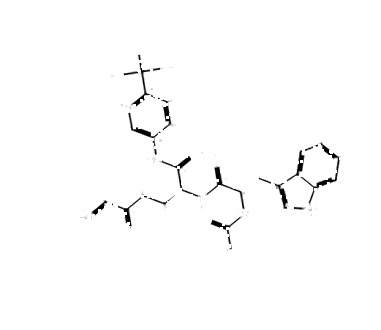 CC(=O)N[C@@H](Cc1c[nH]c2ccccc12)C(=O)N[C@@H](CCC(=O)C=N)C(=O)Nc1ccc(C(F)(F)F)nc1